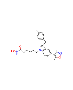 Cc1ccc(Cc2cn(CCCCCC(=O)NO)c3ccc(-c4c(C)noc4C)cc23)cc1